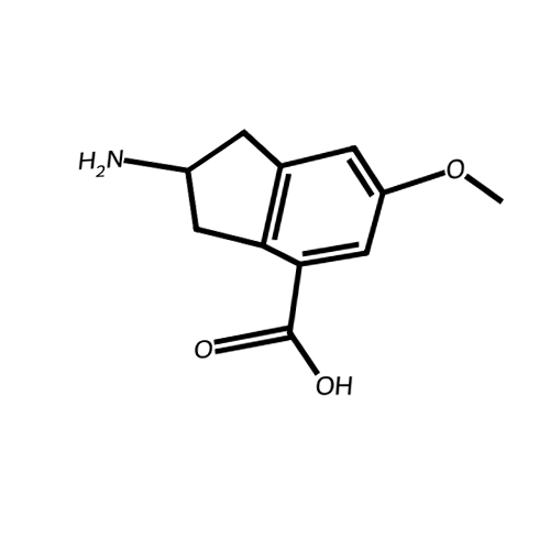 COc1cc2c(c(C(=O)O)c1)CC(N)C2